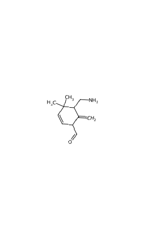 C=C1C(C=O)C=CC(C)(C)C1CN